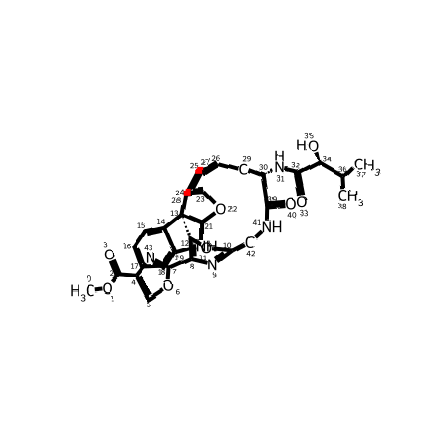 COC(=O)c1coc(-c2nc3oc2[C@@]24c5ccccc5NC2Oc2ccc(cc24)C[C@H](NC(=O)[C@@H](O)C(C)C)C(=O)NC3)n1